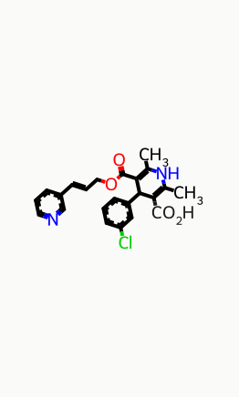 CC1=C(C(=O)O)C(c2cccc(Cl)c2)C(C(=O)OCC=Cc2cccnc2)=C(C)N1